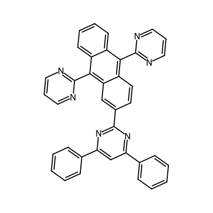 c1ccc(-c2cc(-c3ccccc3)nc(-c3ccc4c(-c5ncccn5)c5ccccc5c(-c5ncccn5)c4c3)n2)cc1